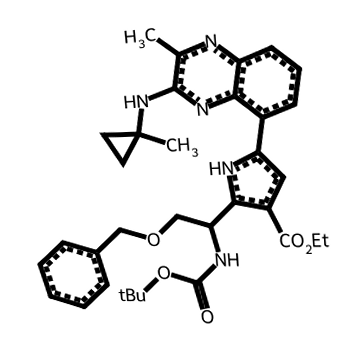 CCOC(=O)c1cc(-c2cccc3nc(C)c(NC4(C)CC4)nc23)[nH]c1C(COCc1ccccc1)NC(=O)OC(C)(C)C